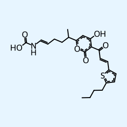 CCCCc1ccc(C=CC(=O)c2c(O)cc(C(C)CCC=CNC(=O)O)oc2=O)s1